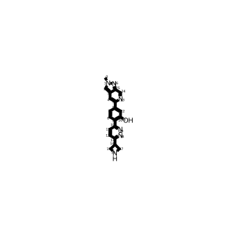 Cn1cc2cc(-c3ccc(-c4ccc(C5CNC5)nn4)c(O)c3)ncc2n1